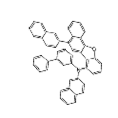 c1ccc(-c2cccc(N(c3ccc4ccccc4c3)c3cccc4oc5c6ccccc6c(-c6ccc7ccccc7c6)cc5c34)c2)cc1